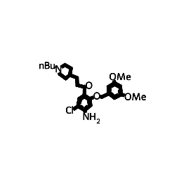 CCCCN1CCC(CCC(=O)c2cc(Cl)c(N)cc2OCc2cc(OC)cc(OC)c2)CC1